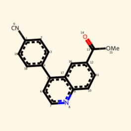 [C-]#[N+]c1ccc(-c2ccnc3ccc(C(=O)OC)cc23)cc1